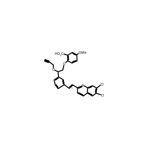 C#CCOC(COc1ccc(OC)cc1C(=O)O)c1cccc(/C=C/c2ccc3cc(Cl)c(Cl)cc3n2)c1